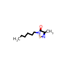 CCCCCCn1snc(C)c1=O